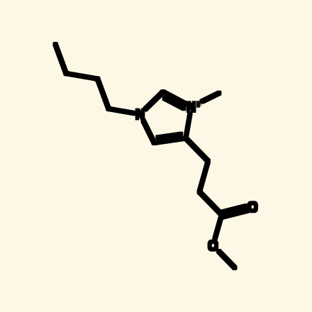 CCCCn1cc(CCC(=O)OC)[n+](C)c1